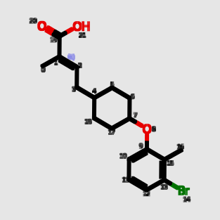 C/C(=C\CC1CCC(Oc2cccc(Br)c2C)CC1)C(=O)O